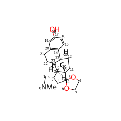 CNC[C@H]1CC2(OCCO2)[C@@]2(C)CC[C@@H]3c4ccc(O)cc4CC[C@H]3[C@H]12